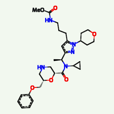 COC(=O)NCCCc1cc([C@H](C)N(C(=O)[C@H]2CNC[C@@H](COc3ccccc3)O2)C2CC2)nn1C1CCOCC1